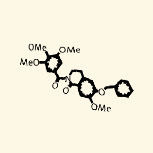 COc1cc2c(cc1OCc1ccccc1)CCN(C(=O)c1cc(OC)c(OC)c(OC)c1)C2=O